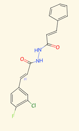 O=C(C=Cc1ccccc1)NNC(=O)/C=C/c1ccc(F)c(Cl)c1